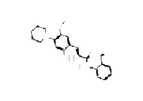 COc1cc(/C=C/C(=O)Nc2ccccc2C=O)c(O)cc1N1CCCCC1